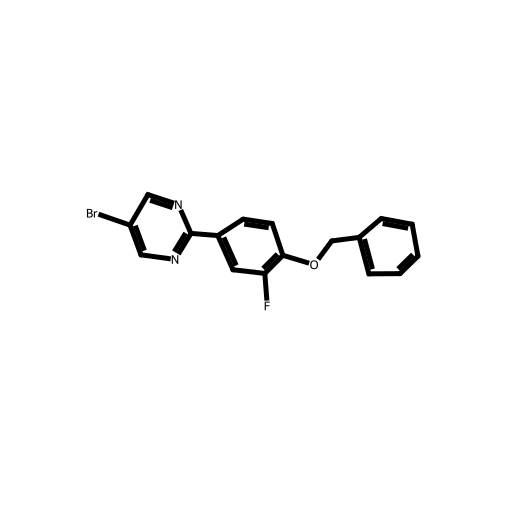 Fc1cc(-c2ncc(Br)cn2)ccc1OCc1ccccc1